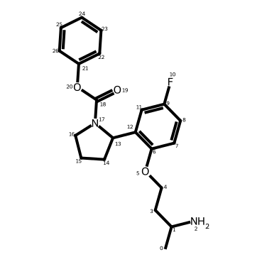 CC(N)CCOc1ccc(F)cc1C1CCCN1C(=O)Oc1ccccc1